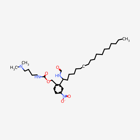 CCCCCCCCCCCCCCCCCC(NC=O)c1cc([N+](=O)[O-])ccc1COC(=O)NCCCCN(C)C